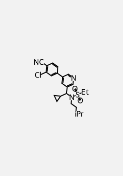 CCS(=O)(=O)N(CCC(C)C)C(c1cncc(-c2ccc(C#N)c(Cl)c2)c1)C1CC1